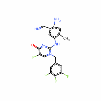 Cc1cc(N)c(C=N)cc1Nc1nc(=O)c(F)cn1Cc1cc(F)c(F)c(F)c1